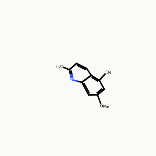 COc1cc(C#N)c2ccc(C)nc2c1